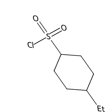 CCC1CCC(S(=O)(=O)Cl)CC1